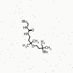 CC(C)(C)CNC(=O)NCCC(C)(C)OCCC(C)(C)C(C)(C)C